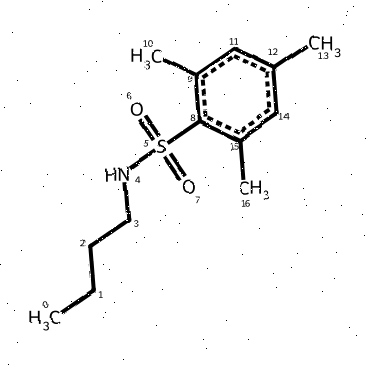 CCCCNS(=O)(=O)c1c(C)cc(C)cc1C